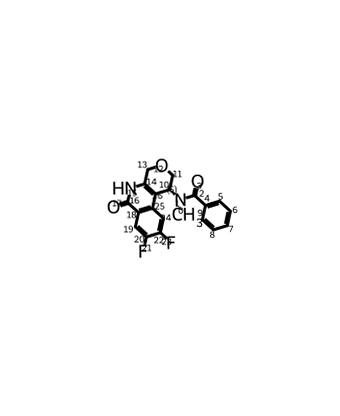 CN(C(=O)c1ccccc1)[C@@H]1COCc2[nH]c(=O)c3cc(F)c(F)cc3c21